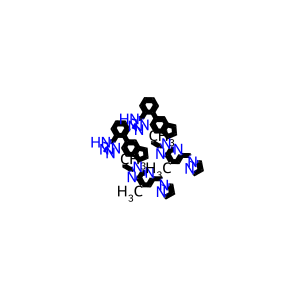 CCc1nc2c(C)cc(Cn3cccn3)nc2n1[C@H]1CCc2cc(-c3ccccc3-c3nnn[nH]3)ccc21.CCc1nc2c(C)cc(Cn3cccn3)nc2n1[C@H]1CCc2cc(-c3ccccc3-c3nnn[nH]3)ccc21